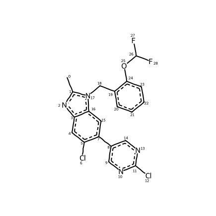 Cc1nc2cc(Cl)c(-c3cnc(Cl)nc3)cc2n1Cc1ccccc1OC(F)F